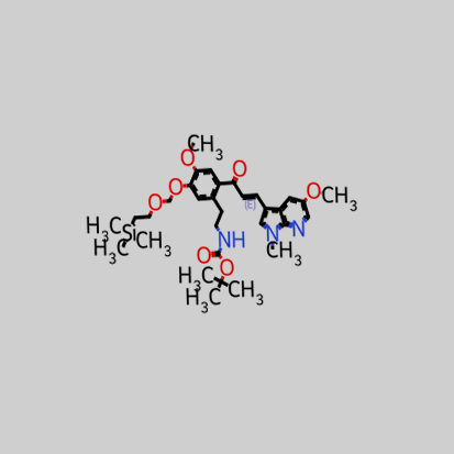 COc1cnc2c(c1)c(/C=C/C(=O)c1cc(OC)c(OCOCC[Si](C)(C)C)cc1CCNC(=O)OC(C)(C)C)cn2C